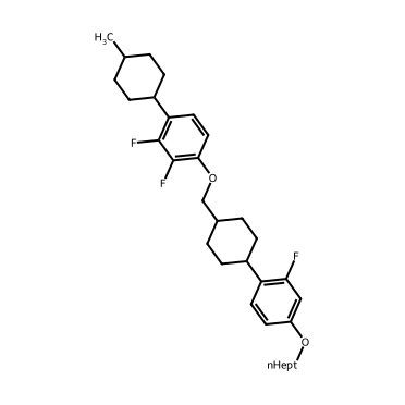 CCCCCCCOc1ccc(C2CCC(COc3ccc(C4CCC(C)CC4)c(F)c3F)CC2)c(F)c1